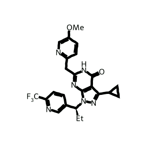 CC[C@@H](c1ccc(C(F)(F)F)nc1)n1nc(C2CC2)c2c(=O)[nH]c(Cc3ccc(OC)cn3)nc21